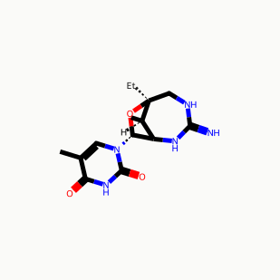 CC[C@@]12CNC(=N)NC([C@H](n3cc(C)c(=O)[nH]c3=O)O1)[C@H]2C